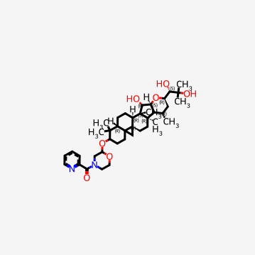 C[C@@H]1C[C@H]([C@H](O)C(C)(C)O)O[C@H]2C1[C@@]1(C)CC[C@@]34CC35CCC(OC3CN(C(=O)c6ccccn6)CCO3)C(C)(C)[C@@H]5CC[C@H]4[C@]1(C)[C@H]2O